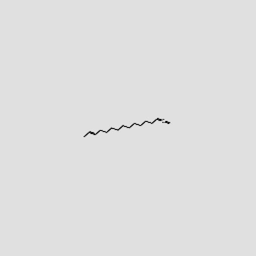 [CH]=C=CCCCCCCCCCCC=CC